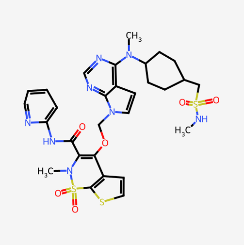 CNS(=O)(=O)CC1CCC(N(C)c2ncnc3c2ccn3COC2=C(C(=O)Nc3ccccn3)N(C)S(=O)(=O)c3sccc32)CC1